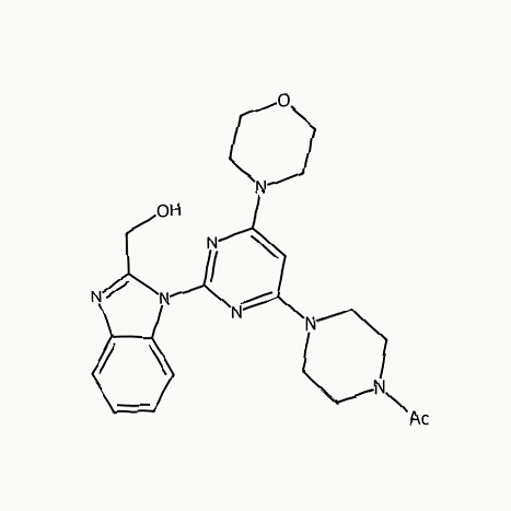 CC(=O)N1CCN(c2cc(N3CCOCC3)nc(-n3c(CO)nc4ccccc43)n2)CC1